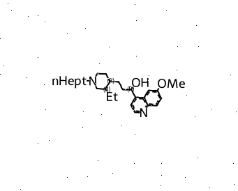 CCCCCCCN1CC[C@@H](CC[C@@H](O)c2ccnc3ccc(OC)cc23)[C@@H](CC)C1